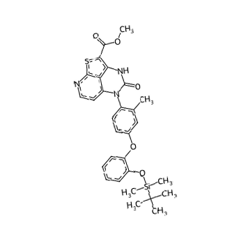 COC(=O)c1sc2nccc3c2c1NC(=O)N3c1ccc(Oc2ccccc2O[Si](C)(C)C(C)(C)C)cc1C